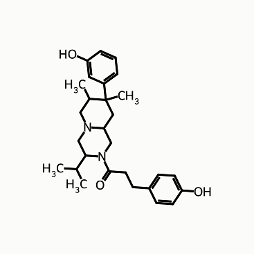 CC(C)C1CN2CC(C)C(C)(c3cccc(O)c3)CC2CN1C(=O)CCc1ccc(O)cc1